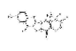 CCc1c2c(nc3ccc(O)cc13)-c1cc3c(c(=O)n1C2)COC(=O)[C@]3(C)I